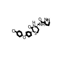 O=C(NC[C@@H]1CCS[C@H](c2ccc(Oc3ccc(Cl)cc3)cc2)C(=O)N1)c1cccnn1